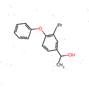 CC(C)c1cc(C(C)O)ccc1Oc1ccccc1